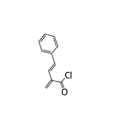 C=C(C=Cc1ccccc1)C(=O)Cl